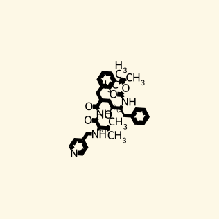 CC(C)[C@@H](NCc1ccncc1)C(=O)NC(=O)C(Cc1ccccc1)C[C@H](O)[C@H](Cc1ccccc1)NC(=O)OC(C)(C)C